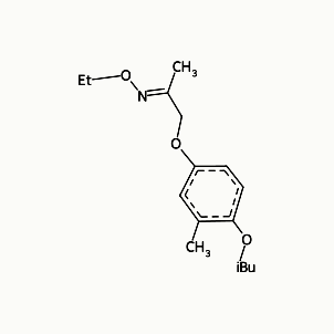 CCON=C(C)COc1ccc(OC(C)CC)c(C)c1